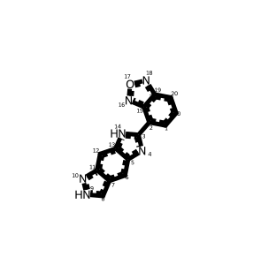 c1cc(-c2nc3cc4c[nH]nc4cc3[nH]2)c2nonc2c1